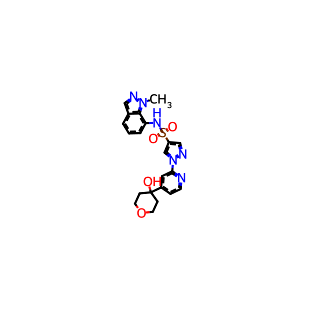 Cn1ncc2cccc(NS(=O)(=O)c3cnn(-c4cc(C5(O)CCOCC5)ccn4)c3)c21